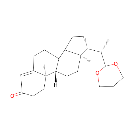 C[C@H](C1OCCCO1)[C@H]1CCC2C3CCC4=CC(=O)CC[C@]4(C)[C@H]3CC[C@@]21C